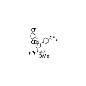 CCCC(C(=O)OC)[C@H]1CCN(Cc2cc(C(F)(F)F)ccc2C(F)(F)F)[C@@H](c2ccc(C(F)(F)F)cc2)C1